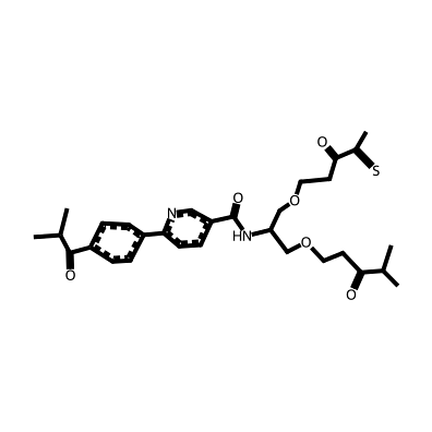 CC(=S)C(=O)CCOCC(COCCC(=O)C(C)C)NC(=O)c1ccc(-c2ccc(C(=O)C(C)C)cc2)nc1